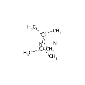 CCCCCc1cc(CCCCC)cc(/N=C/C(CCCC)=N/c2cc(CCCCC)cc(CCCCC)c2)c1.[Ni]